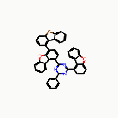 c1ccc(-c2nc(-c3cccc4oc5ccccc5c34)nc(-c3ccc(-c4cccc5sc6ccccc6c45)c4oc5ccccc5c34)n2)cc1